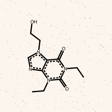 CCn1c(=O)c2c(ncn2CCO)n(CC)c1=O